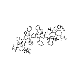 Cc1ccccc1N(c1cc2c3c(c1)N(c1ccccc1)c1cc4c(cc1B3c1ccccc1O2)B1c2ccccc2Oc2cc(N(c3ccccc3C)c3cc5c(cc3C)C(C)(C)CCC5(C)C)cc(c21)N4c1ccccc1)c1cc2c(cc1C)C(C)(C)CCC2(C)C